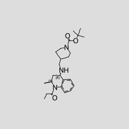 CCC(=O)N1c2ccccc2[C@H](NCC2CCN(C(=O)OC(C)(C)C)CC2)C[C@@H]1C